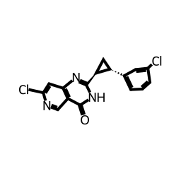 O=c1[nH]c([C@H]2C[C@@H]2c2cccc(Cl)c2)nc2cc(Cl)ncc12